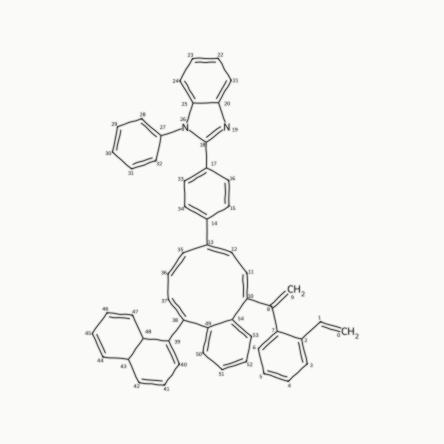 C=Cc1ccccc1C(=C)c1ccc(-c2ccc(-c3nc4ccccc4n3-c3ccccc3)cc2)cccc(C2=CC=CC3C=CC=CC23)c2ccccc12